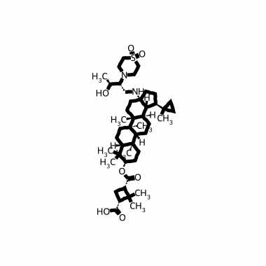 C[C@H](O)[C@@H](CN[C@]12CC[C@@H](C3(C)CC3)[C@@H]1[C@H]1CC[C@@H]3[C@@]4(C)CC[C@H](OC(=O)[C@H]5C[C@@H](C(=O)O)C5(C)C)C(C)(C)[C@@H]4CC[C@@]3(C)[C@]1(C)CC2)N1CCS(=O)(=O)CC1